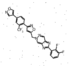 Fc1cccc(-c2nc3cnn(Cc4cc(-c5ccc(-c6cnoc6)cc5C(F)(F)F)no4)cc-3n2)c1F